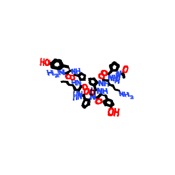 CCCCC[C@H](NC(=O)C1CCCC1NC(=O)[C@H](Cc1ccc(O)cc1)NC(=O)C1CCCC1NC(=O)[C@H](CCCCN)NC(=O)C1CCCC1NC(C)=O)C(=O)NC1CCCC1C(=O)N[C@@H](Cc1ccc(O)cc1)C(N)=O